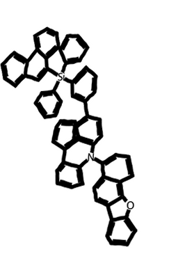 c1ccc(-c2ccccc2N(c2ccc(-c3cccc([Si](c4ccccc4)(c4ccccc4)c4cc5ccccc5c5ccccc45)c3)cc2)c2cccc3c2ccc2c4ccccc4oc32)cc1